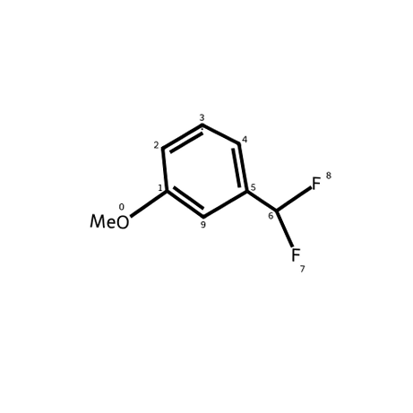 COc1c[c]cc(C(F)F)c1